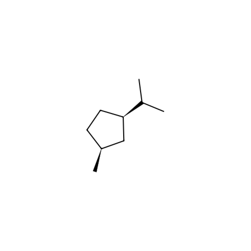 CC(C)[C@@H]1CC[C@H](C)C1